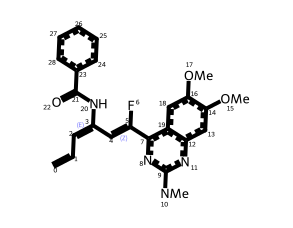 C=C/C=C(\C=C(/F)c1nc(NC)nc2cc(OC)c(OC)cc12)NC(=O)c1ccccc1